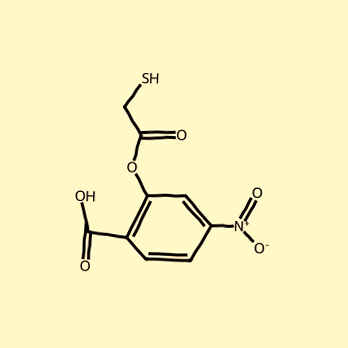 O=C(CS)Oc1cc([N+](=O)[O-])ccc1C(=O)O